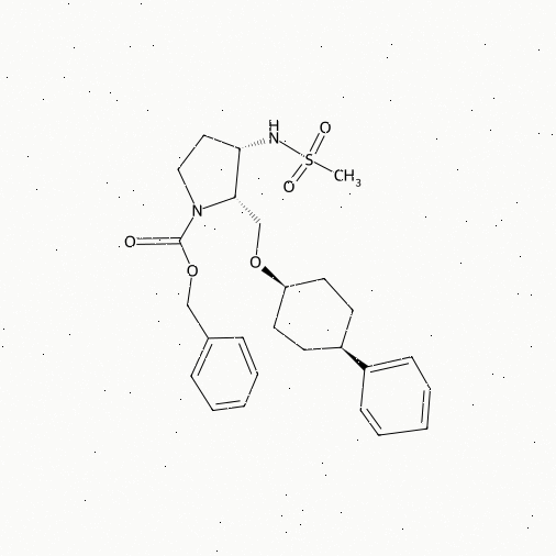 CS(=O)(=O)N[C@H]1CCN(C(=O)OCc2ccccc2)[C@H]1CO[C@H]1CC[C@@H](c2ccccc2)CC1